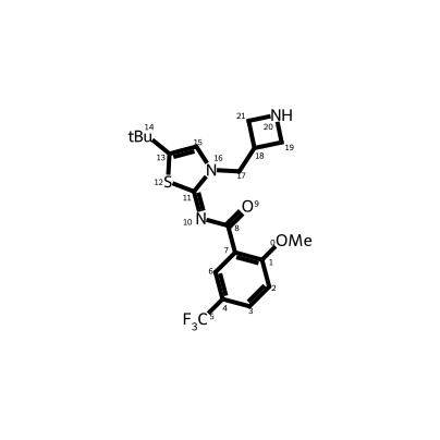 COc1ccc(C(F)(F)F)cc1C(=O)N=c1sc(C(C)(C)C)cn1CC1CNC1